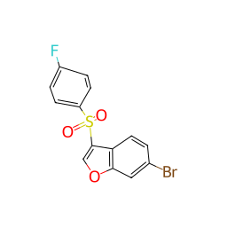 O=S(=O)(c1ccc(F)cc1)c1coc2cc(Br)ccc12